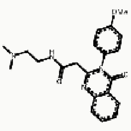 COc1ccc(-n2c([CH]C(=O)NCCN(C)C)nc3ccccc3c2=O)cc1